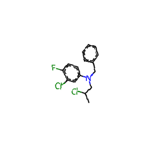 CC(Cl)CN(Cc1ccccc1)c1ccc(F)c(Cl)c1